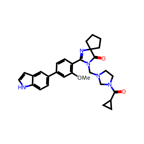 COc1cc(-c2ccc3[nH]ccc3c2)ccc1C1=NC2(CCCC2)C(=O)N1CN1CCN(C(=O)C2CC2)C1